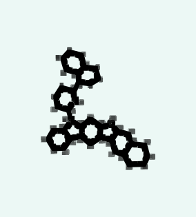 c1cc(-c2cccc3ccccc23)nc(-n2c3ccccc3c3cc4c(cc32)oc2cc3ccccc3cc24)c1